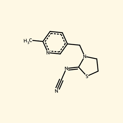 Cc1ccc(CN2CCS/C2=N\C#N)cn1